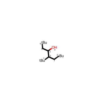 CCC(C)CC(C(O)CC(C)(C)C)C(C)(C)C